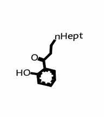 CCCCCCCCCC(=O)c1ccccc1O